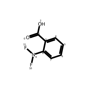 O=C(O)c1ccccc1N(F)F